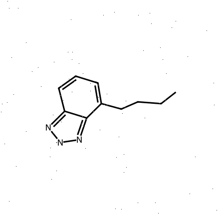 CCCCc1cccc2c1=N[N]N=2